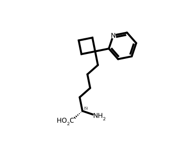 N[C@@H](CCCCC1(c2ccccn2)CCC1)C(=O)O